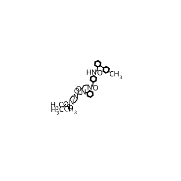 Cc1ccc(-c2ccccc2C(=O)Nc2ccc(C(=O)N3CCC(=O)N(CC(=O)N4CCN(C(=O)OC(C)(C)C)CC4)c4ccccc43)cc2)cc1